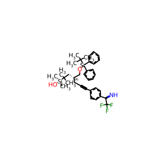 CC(C)(C[C@@H](CC#Cc1ccc(C(=N)C(F)(F)F)cc1)CO[Si](c1ccccc1)(c1ccccc1)C(C)(C)C)[Si](C)(C)O